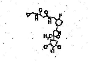 CC1(c2cc(Cl)c(Cl)c(Cl)c2)CC(c2ccc(F)c(CNC(=O)CC(=O)NCC3CC3)c2)=NO1